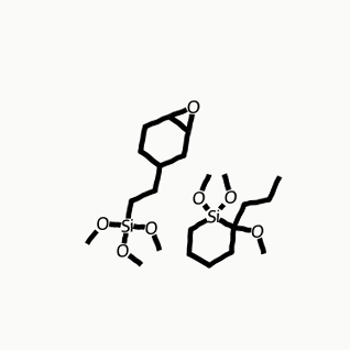 CCCC1(OC)CCCC[Si]1(OC)OC.CO[Si](CCC1CCC2OC2C1)(OC)OC